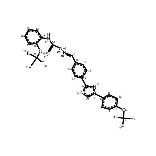 FC(F)(F)Oc1ccc(-n2cnc(-c3ccc(/C=N/NC(=S)Nc4ccccc4OC(F)(F)F)cc3)n2)cc1